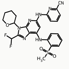 CS(=O)(=O)c1ccccc1Nc1cc(Nc2cccc(C#N)n2)nc2c1nc(C(F)F)n2C1CCCCO1